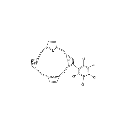 Clc1c(Cl)c(Cl)c(-c2cc3cc4nc(cc5ccc(cc6nc(cc2[nH]3)C=C6)[nH]5)C=C4)c(Cl)c1Cl